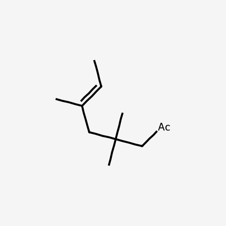 CC=C(C)CC(C)(C)CC(C)=O